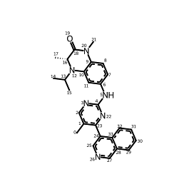 Cc1cnc(Nc2ccc3c(c2)N(C(C)C)[C@H](C)C(=O)N3C)nc1-c1cncc2ccccc12